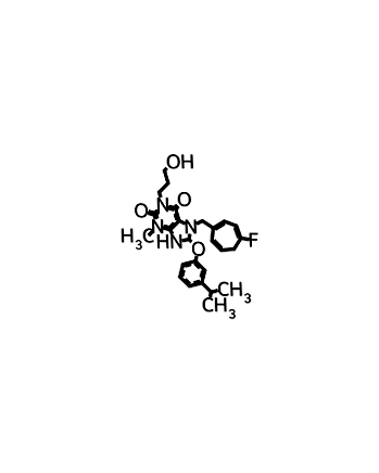 CC(C)c1cccc(OC2Nc3c(c(=O)n(CCCO)c(=O)n3C)N2CC2=CC=C(F)CC=C2)c1